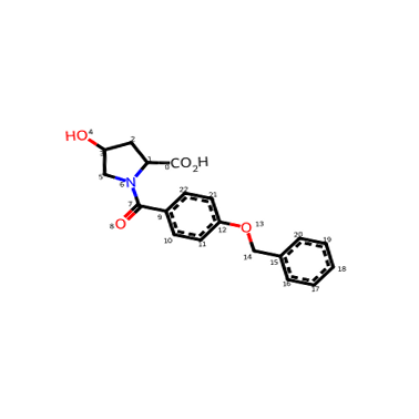 O=C(O)C1CC(O)CN1C(=O)c1ccc(OCc2ccccc2)cc1